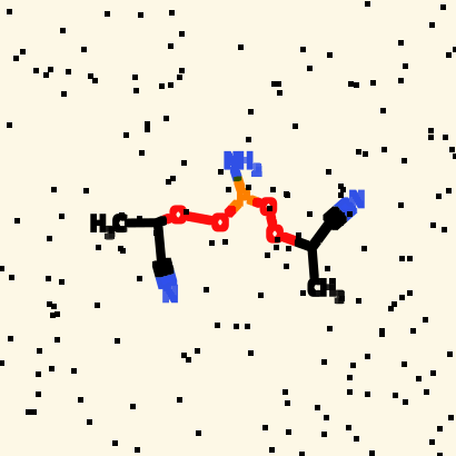 CC(C#N)OOP(N)OOC(C)C#N